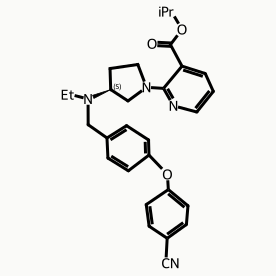 CCN(Cc1ccc(Oc2ccc(C#N)cc2)cc1)[C@H]1CCN(c2ncccc2C(=O)OC(C)C)C1